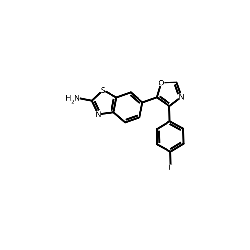 Nc1nc2ccc(-c3ocnc3-c3ccc(F)cc3)cc2s1